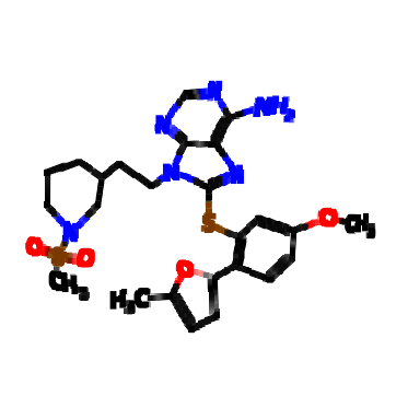 COc1ccc(-c2ccc(C)o2)c(Sc2nc3c(N)ncnc3n2CCC2CCCN(S(C)(=O)=O)C2)c1